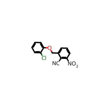 N#Cc1c(COc2ccccc2Cl)cccc1[N+](=O)[O-]